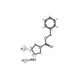 CN[C@H]1CN(C(=O)OCc2ccccc2)C[C@H]1C